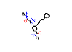 CCNC(=O)c1ccc(-n2cc(C(=O)NC3CC3)nn2)c(C#CCCc2ccccc2)c1